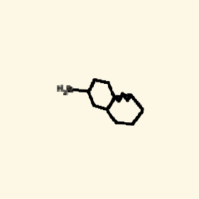 BC1CCC23CCCC2CCCC3C1